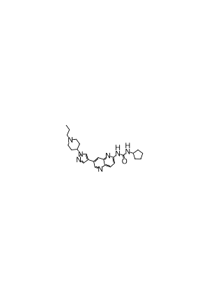 CCCN1CCC(n2cc(-c3cnc4ccc(NC(=O)NC5CCCC5)nc4c3)cn2)CC1